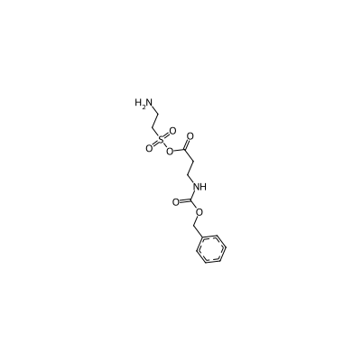 NCCS(=O)(=O)OC(=O)CCNC(=O)OCc1ccccc1